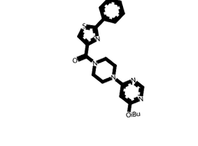 CC(C)COc1cc(N2CCN(C(=O)c3csc(-c4ccccc4)n3)CC2)ncn1